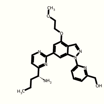 CCC[C@@H](N)c1ccnc(-c2cc(OCCOC)c3cnn(-c4cccc(CO)n4)c3c2)n1